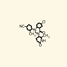 Cc1cc(C#N)ccc1N1CN(c2ccc(=O)[nH]c2C)C(=O)c2cc(Cl)ccc21